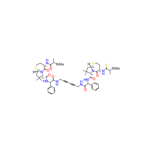 CNC(C)C(=O)N[C@H]1CCS[C@H]2CC(C)(C)[C@@H](C(=O)NC(C(=O)NCC#CC#CCNC(=O)C(NC(=O)[C@H]3N4C(=O)[C@@H](NC(=S)C(C)NC)CCS[C@H]4CC3(C)C)c3ccccc3)c3ccccc3)N2C1=O